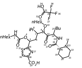 CCCCCCNC(=O)OC(CC(C(C)C)N(OCCCCCC)C(=O)C(NC(=O)[C@H]1CCCCN1C)C(C)CC)c1nc(C(=O)O)cs1.O=C(O)C(F)(F)F